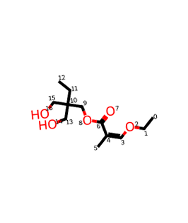 CCOC=C(C)C(=O)OCC(CC)(CO)CO